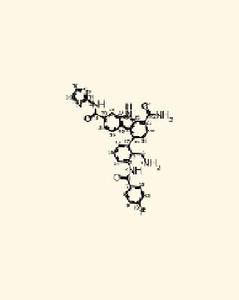 NCc1c(NC(=O)c2ccc(F)cc2)cccc1-c1ccc(C(N)=O)c2[nH]c3cc(C(=O)Nc4nccs4)ccc3c12